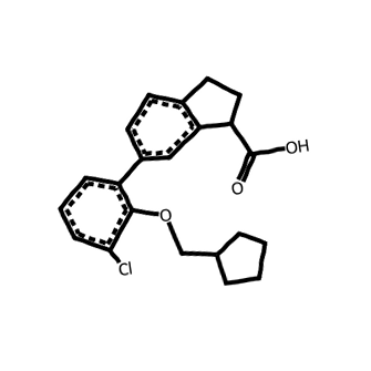 O=C(O)C1CCc2ccc(-c3cccc(Cl)c3OCC3CCCC3)cc21